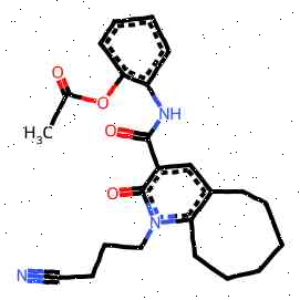 CC(=O)Oc1ccccc1NC(=O)c1cc2c(n(CCCC#N)c1=O)CCCCCC2